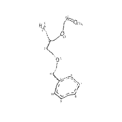 CC(COCc1ccccc1)O[C]=O